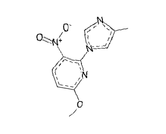 COc1ccc([N+](=O)[O-])c(-n2cnc(C)c2)n1